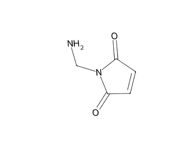 NCN1C(=O)C=CC1=O